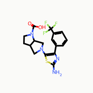 Nc1nc(-c2cccc(C(F)(F)F)c2)c(N2CC3CCN(C(=O)O)C3C2)s1